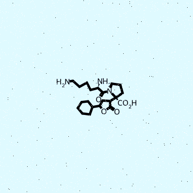 NCCCC[C@H](N)C(=O)N1CCC[C@]1(C(=O)O)C1CC(C2CCCCC2)OC1=O